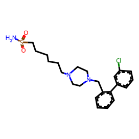 NS(=O)(=O)CCCCCCN1CCN(Cc2ccccc2-c2cccc(Cl)c2)CC1